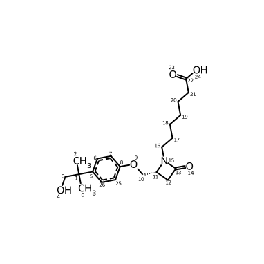 CC(C)(CO)c1ccc(OC[C@H]2CC(=O)N2CCCCCCC(=O)O)cc1